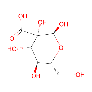 O=C(O)[C@@]1(O)[C@@H](O)O[C@H](CO)[C@@H](O)[C@@H]1O